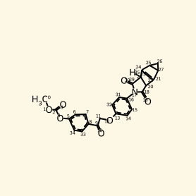 COC(=O)Oc1ccc(C(=O)COc2ccc(N3C(=O)C4C5C=CC(C6CC56)[C@H]4C3=O)cc2)cc1